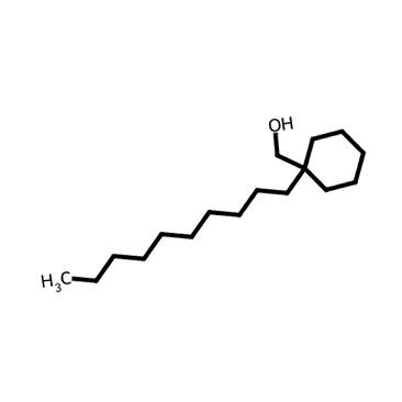 CCCCCCCCCCC1(CO)CCCCC1